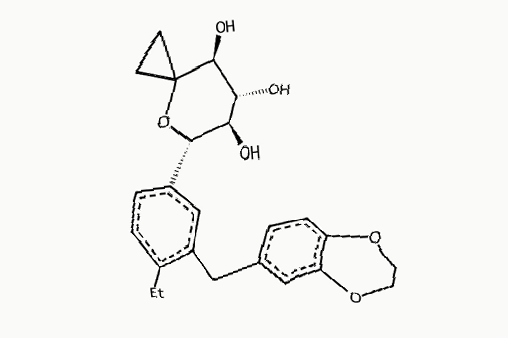 CCc1ccc([C@@H]2OC3(CC3)[C@@H](O)[C@H](O)[C@H]2O)cc1Cc1ccc2c(c1)OCCO2